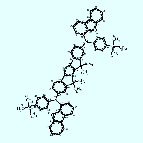 CC1(C)c2cc(N(c3ccc([Si](C)(C)C)cc3)c3cccc4c3oc3ccccc34)ccc2-c2sc3c(c21)C(C)(C)c1cc(N(c2ccc([Si](C)(C)C)cc2)c2cccc4c2oc2ccccc24)ccc1-3